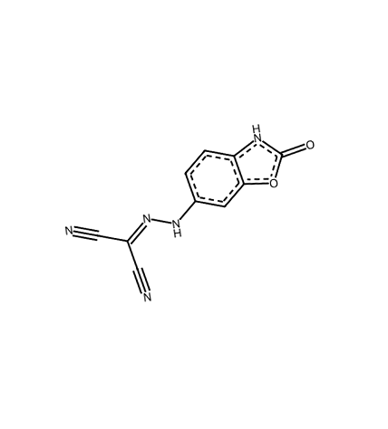 N#CC(C#N)=NNc1ccc2[nH]c(=O)oc2c1